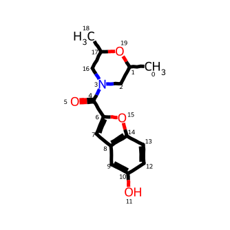 CC1CN(C(=O)c2cc3cc(O)ccc3o2)CC(C)O1